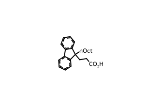 CCCCCCCCC1(CCC(=O)O)c2ccccc2-c2ccccc21